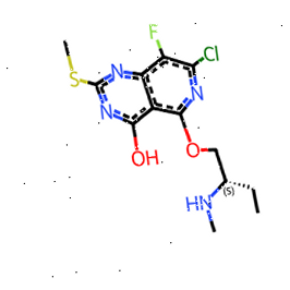 CC[C@@H](COc1nc(Cl)c(F)c2nc(SC)nc(O)c12)NC